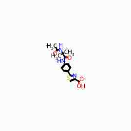 [CH2]C(=O)NC(C)(C)C(=O)Nc1ccc(-c2nc(C(=O)O)cs2)cc1